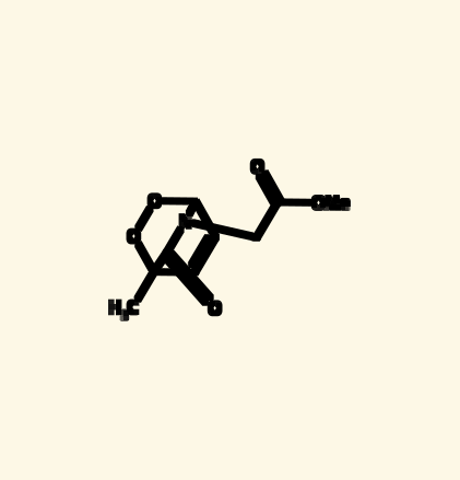 COC(=O)CN1C(=O)C2(C)C=CC1OO2